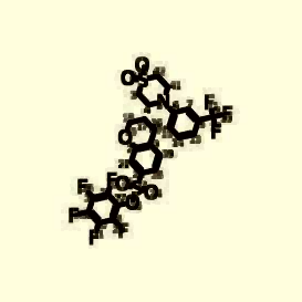 O=S1(=O)CCN(c2cc(C(F)(F)F)ccc2[C@H]2CCOc3cc(S(=O)(=O)Oc4c(F)c(F)c(F)c(F)c4F)ccc32)CC1